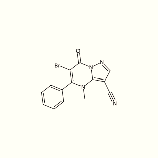 Cn1c(-c2ccccc2)c(Br)c(=O)n2ncc(C#N)c12